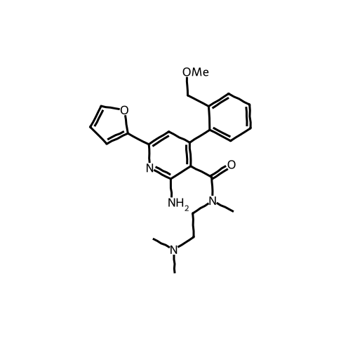 COCc1ccccc1-c1cc(-c2ccco2)nc(N)c1C(=O)N(C)CCN(C)C